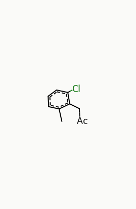 CC(=O)Cc1c(C)cccc1Cl